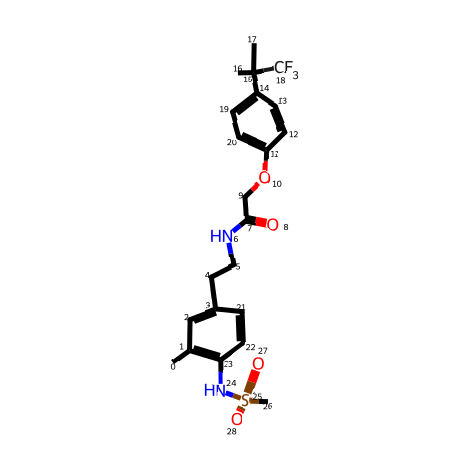 Cc1cc(CCNC(=O)COc2ccc(C(C)(C)C(F)(F)F)cc2)ccc1NS(C)(=O)=O